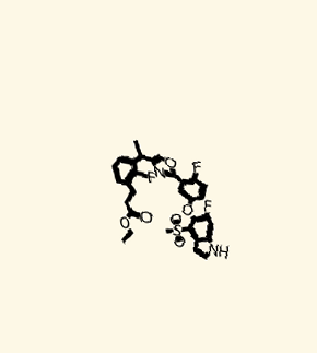 CCOC(=O)CCc1cccc(C(C)c2coc(-c3cc(Oc4c(F)cc5[nH]ccc5c4S(C)(=O)=O)ccc3F)n2)c1F